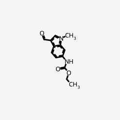 CCOC(=O)Nc1ccc2c(C=O)cn(C)c2c1